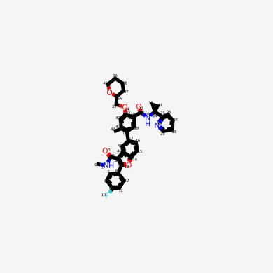 CNC(=O)c1c(-c2ccc(F)cc2)oc2ccc(-c3cc(C(=O)NC4(c5ccccn5)CC4)c(OCC4CCCCO4)cc3C)cc12